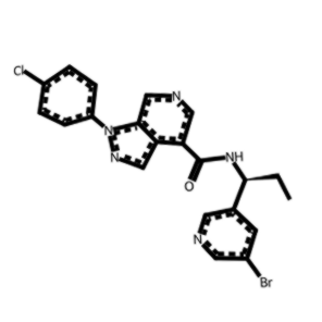 CC[C@H](NC(=O)c1cncc2c1cnn2-c1ccc(Cl)cc1)c1cncc(Br)c1